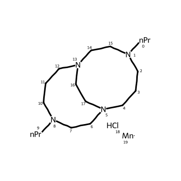 CCCN1CCCN2CCN(CCC)CCCN(CC1)CC2.Cl.[Mn]